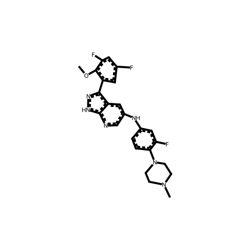 COc1c(F)cc(F)cc1-c1n[nH]c2ncc(Nc3ccc(N4CCN(C)CC4)c(F)c3)cc12